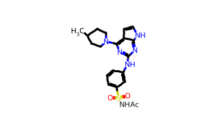 CC(=O)NS(=O)(=O)c1cccc(Nc2nc(N3CCC(C)CC3)c3cc[nH]c3n2)c1